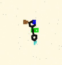 Cl.Fc1ccc(C#Cc2cncc(Br)c2)cc1